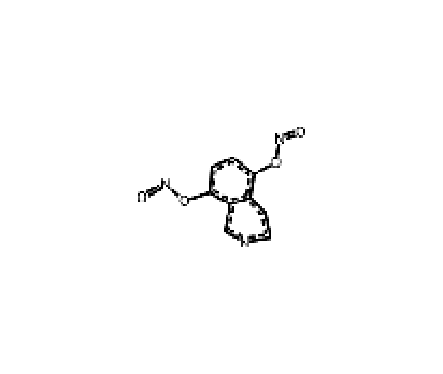 O=NOc1ccc(ON=O)c2cnccc12